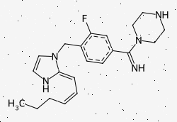 CCC/C=C\C=C1/NC=CN1Cc1ccc(C(=N)N2CCNCC2)cc1F